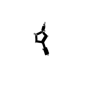 C#CC1=CS(=S)OC1